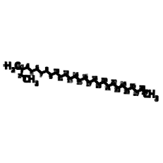 [CH2]C(CC)CCCCCCCCCCCCCCCCCCCCCCCCCC